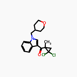 CC1(C(=O)c2cn(CC3CCOCC3)c3ccccc23)CC1(Cl)Cl